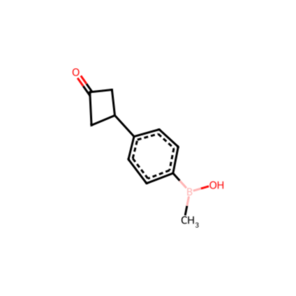 CB(O)c1ccc(C2CC(=O)C2)cc1